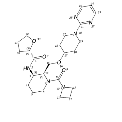 O=C(N[C@@H]1CCCN(C(=O)N2CCC2)[C@@H]1COC1CCN(c2ncccn2)CC1)[C@@H]1CCCO1